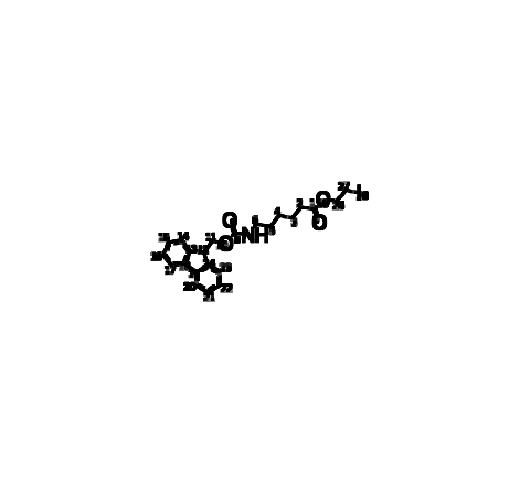 O=C(CCCCCNC(=O)OCC1c2ccccc2-c2ccccc21)OCCI